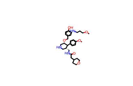 COCCCNc1cc(CO[C@H]2CNC[C@@H](CNC(=O)CC3CCOCC3)C2c2ccc(OC)cc2)ccc1O